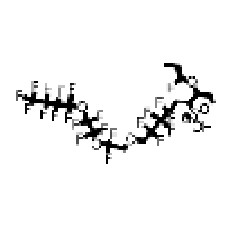 CCC(F)OC(CC)[C@H](CC(F)(F)C(F)(F)C(F)(F)COCC(F)(F)OC(F)(F)C(F)(F)OC(F)(F)C(F)(F)C(F)(F)C(F)(F)F)S(=O)(=O)O